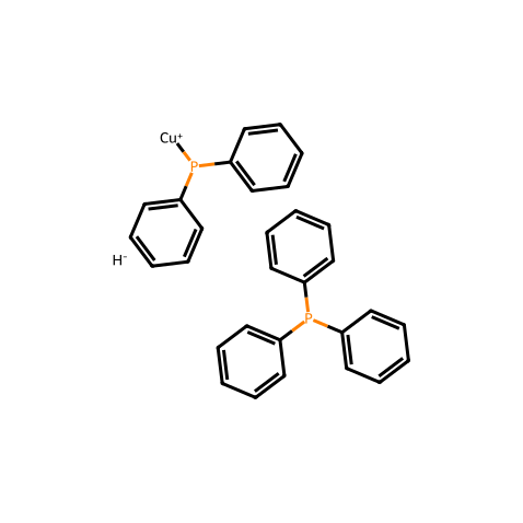 [Cu+][P](c1ccccc1)c1ccccc1.[H-].c1ccc(P(c2ccccc2)c2ccccc2)cc1